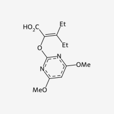 CCC(CC)=C(Oc1nc(OC)cc(OC)n1)C(=O)O